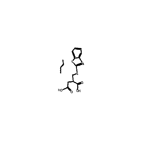 CCCC.O=C(O)CC(CSc1nc2ccccc2s1)C(=O)O